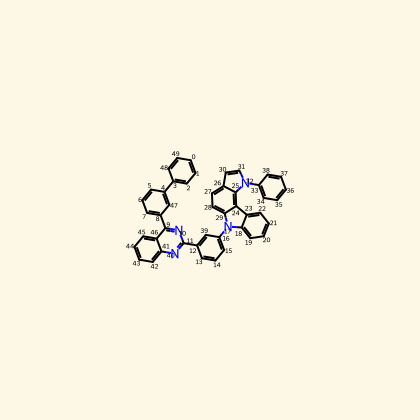 c1ccc(-c2cccc(-c3nc(-c4cccc(-n5c6ccccc6c6c7c(ccc65)ccn7-c5ccccc5)c4)nc4ccccc34)c2)cc1